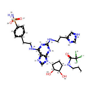 CCCN(C(=O)C(F)(F)F)[C@H]1C[C@@H](n2cnc3c(NCCc4ccc(S(N)(=O)=O)cc4)nc(NCCc4c[nH]cn4)nc32)[C@H](O)[C@@H]1O